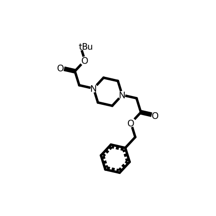 CC(C)(C)OC(=O)CN1CCN(CC(=O)OCc2ccccc2)CC1